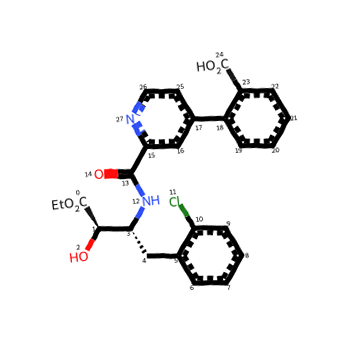 CCOC(=O)[C@H](O)[C@@H](Cc1ccccc1Cl)NC(=O)c1cc(-c2ccccc2C(=O)O)ccn1